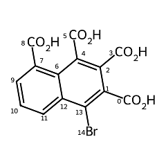 O=C(O)c1c(C(=O)O)c(C(=O)O)c2c(C(=O)O)cccc2c1Br